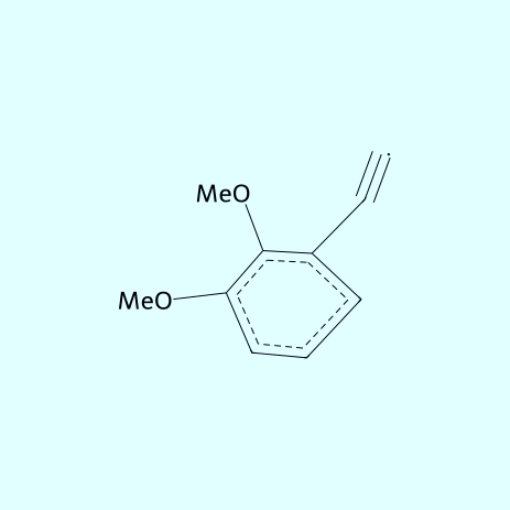 [C]#Cc1cccc(OC)c1OC